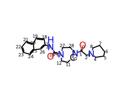 O=C(CN1CCCCC1)N1CCCN(C(=O)Nc2ccc3ccccc3c2)CC1